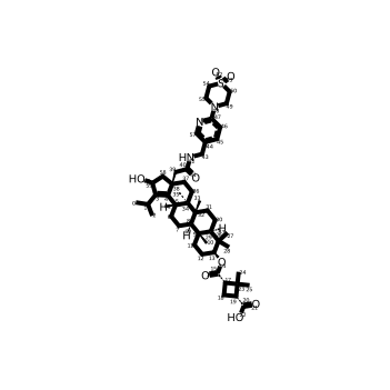 CC(C)C1=C2[C@H]3CC[C@@H]4[C@@]5(C)CC[C@H](OC(=O)[C@H]6C[C@@H](C(=O)O)C6(C)C)C(C)(C)[C@@H]5CC[C@@]4(C)[C@]3(C)CC[C@@]2(CC(=O)NCc2ccc(N3CCS(=O)(=O)CC3)nc2)CC1O